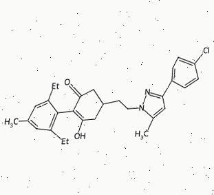 CCc1cc(C)cc(CC)c1C1=C(O)CC(CCn2nc(-c3ccc(Cl)cc3)cc2C)CC1=O